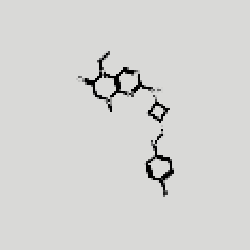 CCN1C(=O)CN(C)c2nc(N[C@H]3C[C@@H](COc4ccc(F)cc4)C3)ncc21